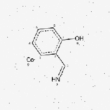 N=Cc1ccccc1O.[Co]